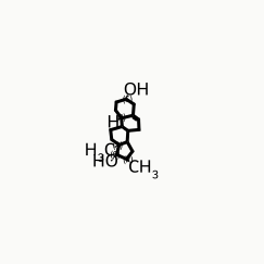 C[C@@H]1CC2C3CC=C4C[C@@H](O)CC[C@@H]4C3CC[C@]2(C)[C@H]1O